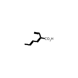 C=CC(=CC=CC)C(=O)O